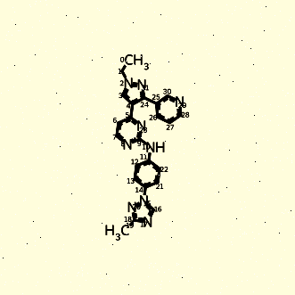 CCn1cc(-c2ccnc(Nc3ccc(-n4cnc(C)n4)cc3)n2)c(-c2cccnc2)n1